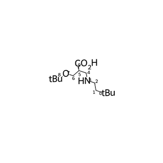 CC(C)(C)CCNC[C@@H](COC(C)(C)C)C(=O)O